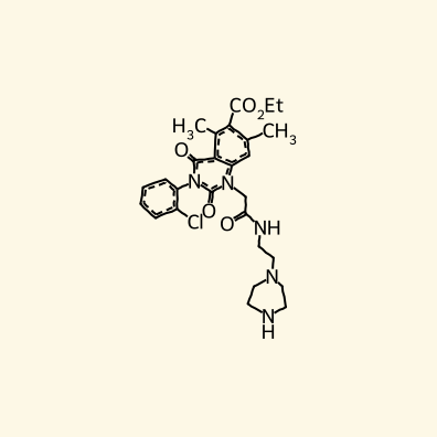 CCOC(=O)c1c(C)cc2c(c1C)c(=O)n(-c1ccccc1Cl)c(=O)n2CC(=O)NCCN1CCNCC1